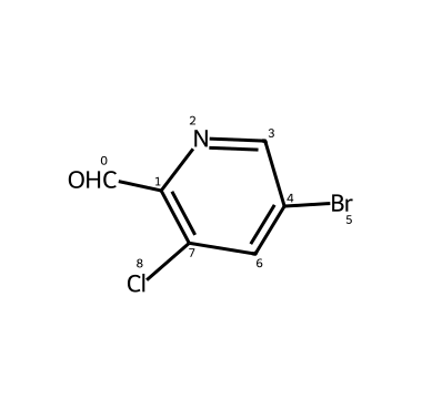 O=Cc1ncc(Br)cc1Cl